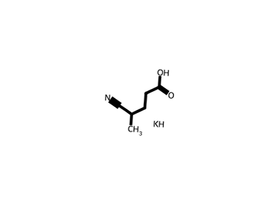 CC(C#N)CCC(=O)O.[KH]